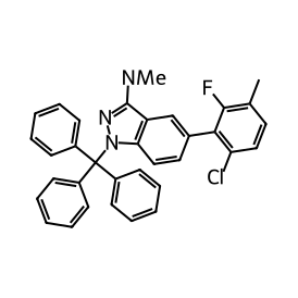 CNc1nn(C(c2ccccc2)(c2ccccc2)c2ccccc2)c2ccc(-c3c(Cl)ccc(C)c3F)cc12